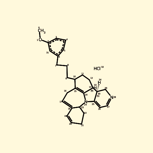 COc1cccc(CCCC2CC[C@H]3C4=C2CC=C2C=CCCC2N4C2=CC=NC[C@@H]23)c1.Cl